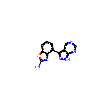 Nc1nc2c(-c3n[nH]c4ncncc34)cccc2o1